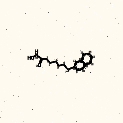 O=C(CCCCCSc1ccc2ccccc2c1)NO